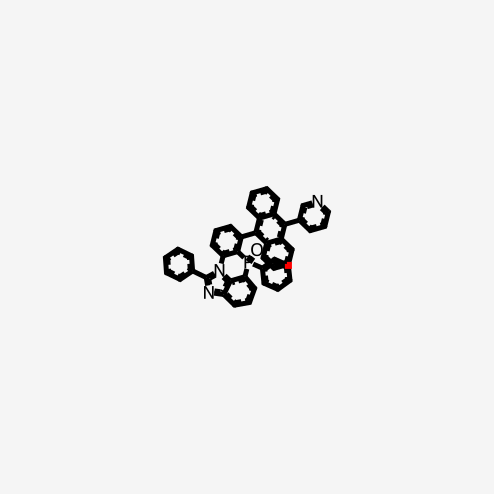 O=P1(c2ccccc2)c2c(-c3c4ccccc4c(-c4cccnc4)c4ccccc34)cccc2-n2c(-c3ccccc3)nc3cccc1c32